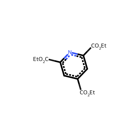 CCOC(=O)c1cc(C(=O)OCC)nc(C(=O)OCC)c1